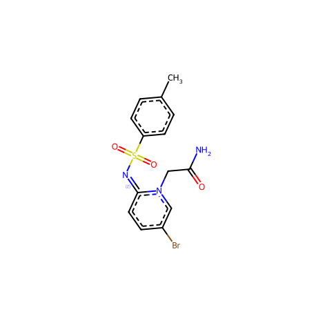 Cc1ccc(S(=O)(=O)/N=c2/ccc(Br)cn2CC(N)=O)cc1